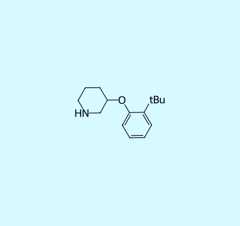 CC(C)(C)c1ccccc1OC1CCCNC1